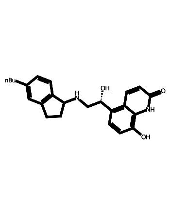 CCCCc1ccc2c(c1)CCC2NC[C@H](O)c1ccc(O)c2[nH]c(=O)ccc12